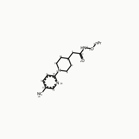 CCCONC(=O)CC1CCN(c2ccc(C#N)cn2)CC1